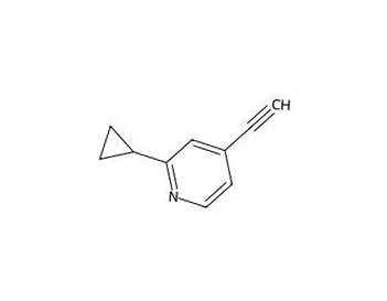 C#Cc1ccnc(C2CC2)c1